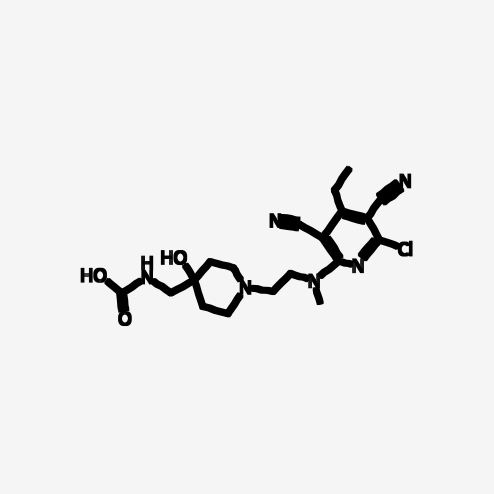 CCc1c(C#N)c(Cl)nc(N(C)CCN2CCC(O)(CNC(=O)O)CC2)c1C#N